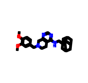 COc1ccc(CN2CCc3c(ncnc3NCC34CC5CC(CC(C5)C3)C4)C2)cc1OC